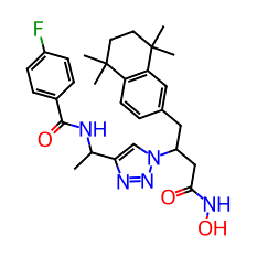 CC(NC(=O)c1ccc(F)cc1)c1cn(C(CC(=O)NO)Cc2ccc3c(c2)C(C)(C)CCC3(C)C)nn1